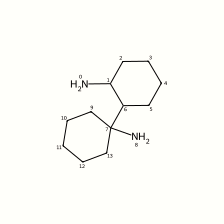 NC1CCCCC1C1(N)CCCCC1